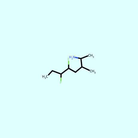 CCC(F)C(F)CC(C)C(C)N